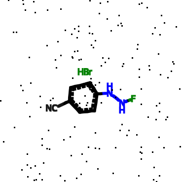 Br.N#Cc1ccc(NNF)cc1